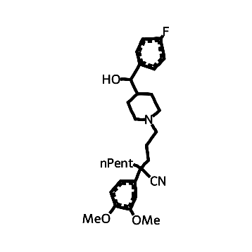 CCCCCC(C#N)(CCCN1CCC(C(O)c2ccc(F)cc2)CC1)c1ccc(OC)c(OC)c1